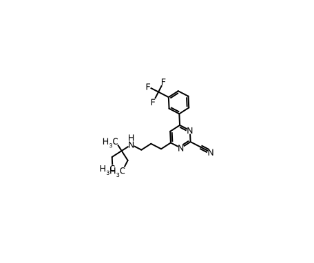 CCC(C)(CC)NCCCc1cc(-c2cccc(C(F)(F)F)c2)nc(C#N)n1